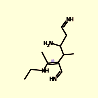 CCN/C(C)=C(\C=N)C(C)C(N)CC=N